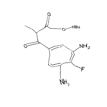 CCCCOC(=O)C(C)C(=O)c1cc(N)c(F)c(N)c1